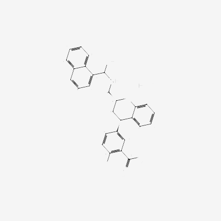 CC(NC[C@@H]1C[C@H](c2ccc(F)c(C(=O)O)c2)c2ccccc2O1)c1cccc2ccccc12.Cl